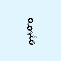 O=C(Oc1ccc(Oc2ccccc2)cc1)C(O)Cc1cccnc1